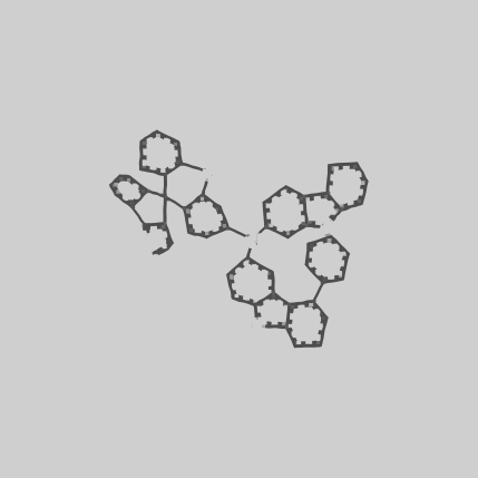 c1ccc(-c2cccc3oc4ccc(N(c5ccc6c(c5)Sc5ccccc5C65c6ccccc6-c6ccccc65)c5ccc6c(c5)sc5ccccc56)cc4c23)cc1